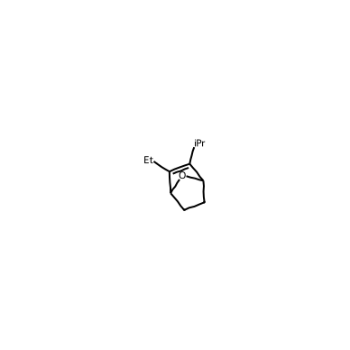 CCC1=C(C(C)C)C2CCC1O2